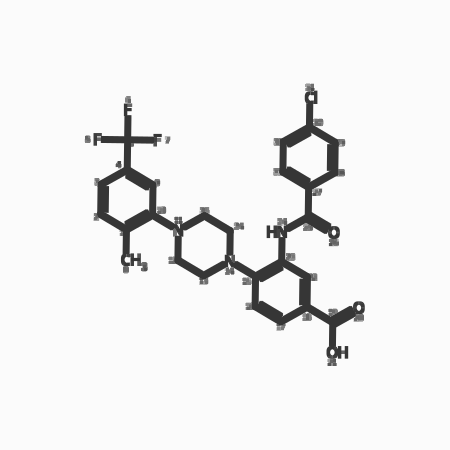 Cc1ccc(C(F)(F)F)cc1N1CCN(c2ccc(C(=O)O)cc2NC(=O)c2ccc(Cl)cc2)CC1